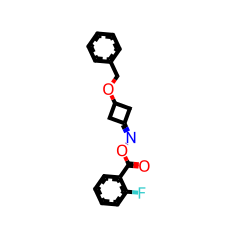 O=C(ON=C1CC(OCc2ccccc2)C1)c1ccccc1F